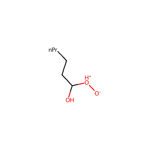 CCCCCC(O)[OH+][O-]